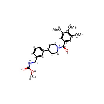 COc1cc(C(=O)N2CCC(c3cccc(CNC(=O)OC(C)(C)C)c3)CC2)cc(OC)c1OC